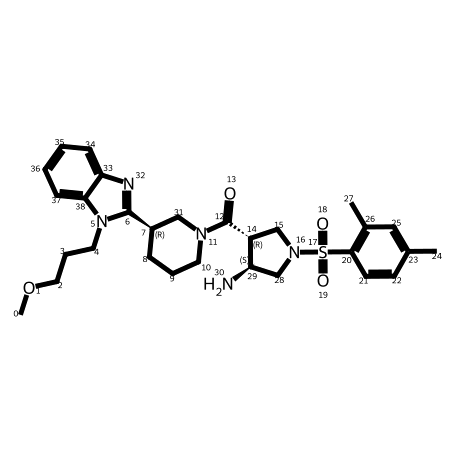 COCCCn1c([C@@H]2CCCN(C(=O)[C@@H]3CN(S(=O)(=O)c4ccc(C)cc4C)C[C@H]3N)C2)nc2ccccc21